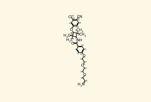 CC1(C)C(NC(=O)c2ccc(OCCOCCOCCN)cc2)C(C)(C)C1Oc1ccc(C#N)c(Cl)c1